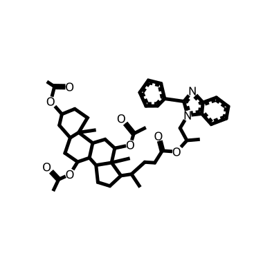 CC(=O)OC1CCC2(C)C(C1)CC(OC(C)=O)C1C2CC(OC(C)=O)C2(C)C(C(C)CCC(=O)OC(C)Cn3c(-c4ccccc4)nc4ccccc43)CCC12